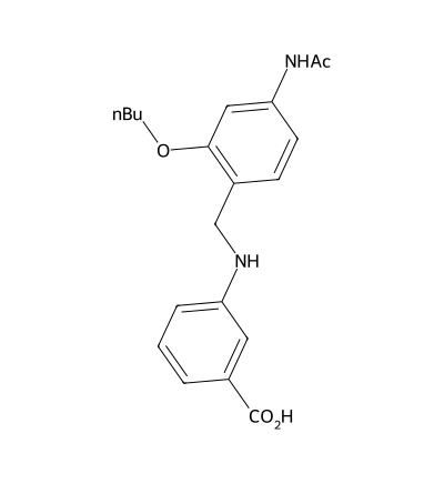 CCCCOc1cc(NC(C)=O)ccc1CNc1cccc(C(=O)O)c1